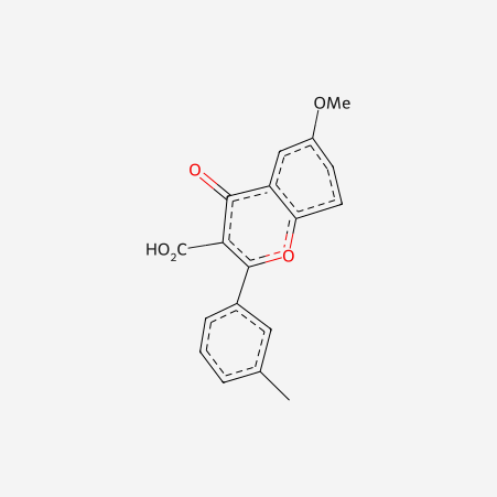 COc1ccc2oc(-c3cccc(C)c3)c(C(=O)O)c(=O)c2c1